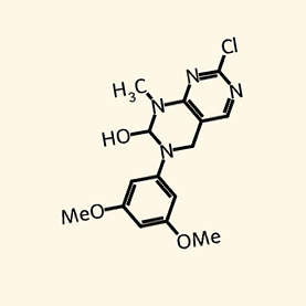 COc1cc(OC)cc(N2Cc3cnc(Cl)nc3N(C)C2O)c1